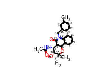 CC(=O)N[C@H]1c2c(c3ccccc3n(Cc3cccc(C)c3)c2=O)OC(C)(C)[C@@H]1O